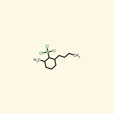 CCCCC1CCCC(C)C1[Si](Cl)(Cl)Cl